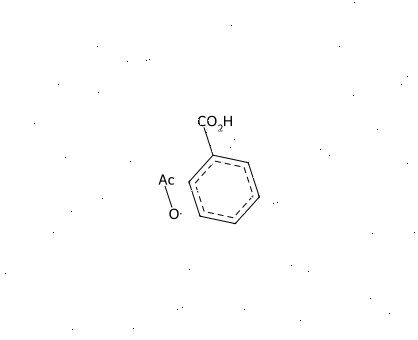 CC([O])=O.O=C(O)c1ccccc1